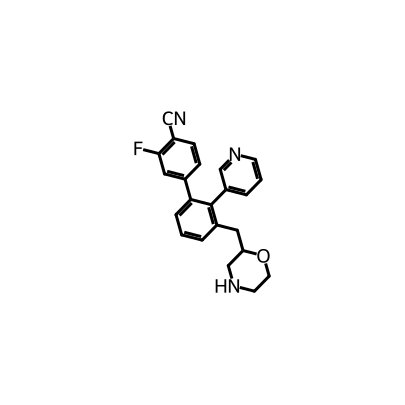 N#Cc1ccc(-c2cccc(CC3CNCCO3)c2-c2cccnc2)cc1F